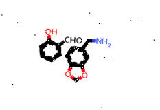 NCc1ccc2c(c1)OCO2.O=Cc1ccccc1O